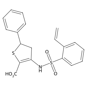 C=Cc1ccccc1S(=O)(=O)NC1=C(C(=O)O)SC(c2ccccc2)C1